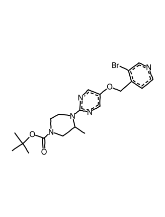 CC1CN(C(=O)OC(C)(C)C)CCN1c1ncc(OCc2ccncc2Br)cn1